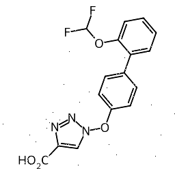 O=C(O)c1cn(Oc2ccc(-c3ccccc3OC(F)F)cc2)nn1